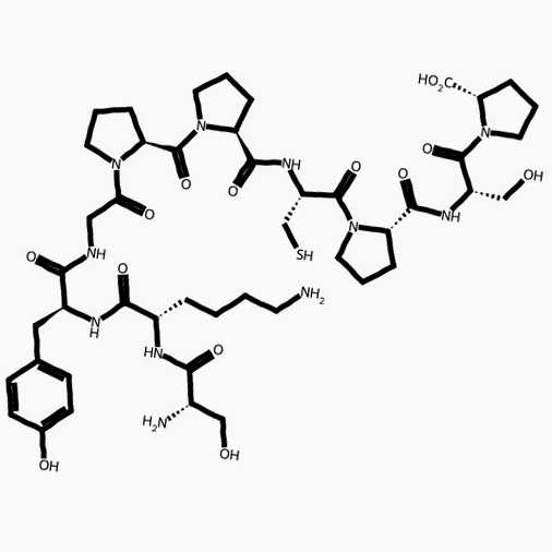 NCCCC[C@H](NC(=O)[C@@H](N)CO)C(=O)N[C@@H](Cc1ccc(O)cc1)C(=O)NCC(=O)N1CCC[C@H]1C(=O)N1CCC[C@H]1C(=O)N[C@@H](CS)C(=O)N1CCC[C@H]1C(=O)N[C@@H](CO)C(=O)N1CCC[C@H]1C(=O)O